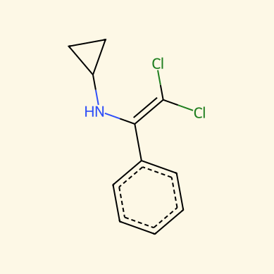 ClC(Cl)=C(NC1CC1)c1ccccc1